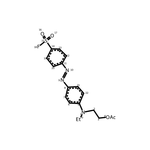 CCN(CCOC(C)=O)c1ccc(N=Nc2ccc(S(=O)(=O)F)cc2)cc1